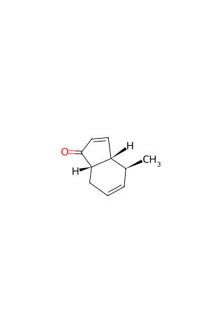 C[C@H]1C=CC[C@@H]2C(=O)C=C[C@@H]21